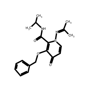 CC(C)=Nn1ccc(=O)c(OCc2ccccc2)c1C(=O)NC(C)C